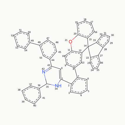 C1=C(c2ccccc2-c2ccc3c(c2)C2(c4ccccc4O3)c3ccccc3-c3ccccc32)NC(c2ccccc2)N=C1c1cccc(-c2ccccc2)c1